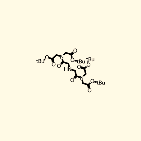 CC(C)(C)OC(=O)CN(CC(=O)OC(C)(C)C)C(=O)CNCC(=O)N(CC(=O)OC(C)(C)C)CC(=O)OC(C)(C)C